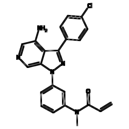 C=CC(=O)N(C)c1cccc(-n2nc(-c3ccc(Cl)cc3)c3c(N)cncc32)c1